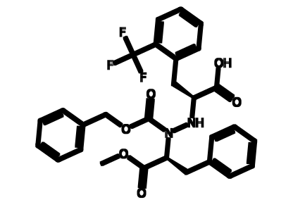 COC(=O)[C@H](Cc1ccccc1)N(N[C@@H](Cc1ccccc1C(F)(F)F)C(=O)O)C(=O)OCc1ccccc1